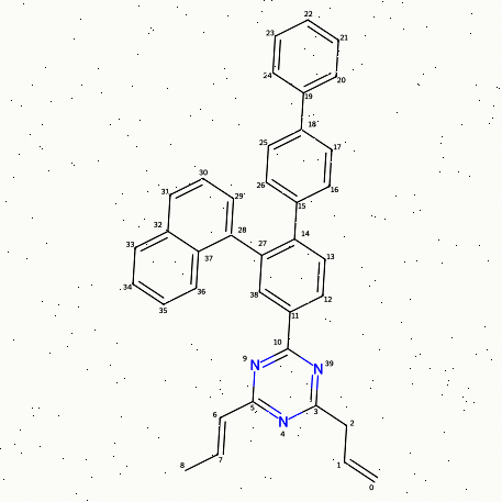 C=CCc1nc(/C=C/C)nc(-c2ccc(-c3ccc(-c4ccccc4)cc3)c(-c3cccc4ccccc34)c2)n1